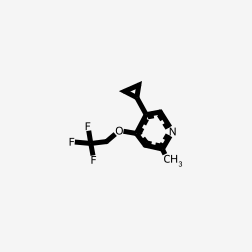 Cc1cc(OCC(F)(F)F)c(C2CC2)cn1